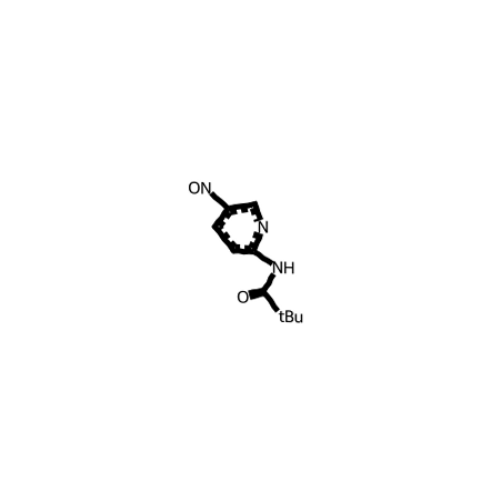 CC(C)(C)C(=O)Nc1ccc(N=O)cn1